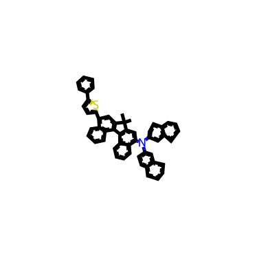 CC1(C)c2cc(-c3ccc(-c4ccccc4)s3)c3ccccc3c2-c2c1cc(N(c1ccc3ccccc3c1)c1ccc3ccccc3c1)c1ccccc21